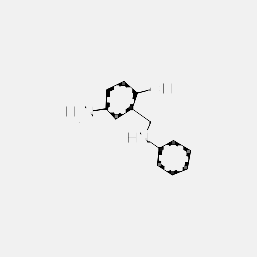 Nc1ccc(O)c(CNc2ccccc2)c1